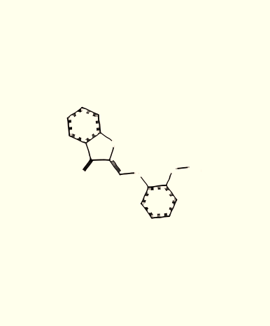 COc1ccccc1NC=C1Sc2ccccc2C1=O